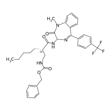 CCCCC[C@@H](CNC(=O)OCc1ccccc1)C(=O)NC1N=C(c2ccc(C(F)(F)F)cc2)c2ccccc2N(C)C1=O